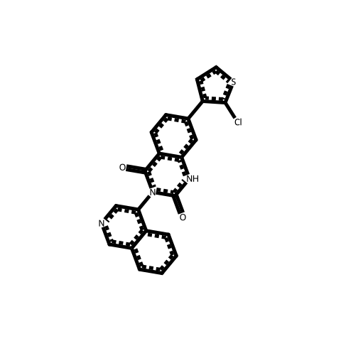 O=c1[nH]c2cc(-c3ccsc3Cl)ccc2c(=O)n1-c1cncc2ccccc12